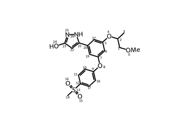 COCC(C)Oc1cc(Oc2ccc(S(C)(=O)=O)cc2)cc(-c2cc(O)n[nH]2)c1